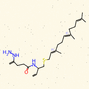 C=CC(CSC/C=C(\C)CC/C=C(\C)CCC=C(C)C)NC(=O)CCC(=C)NN